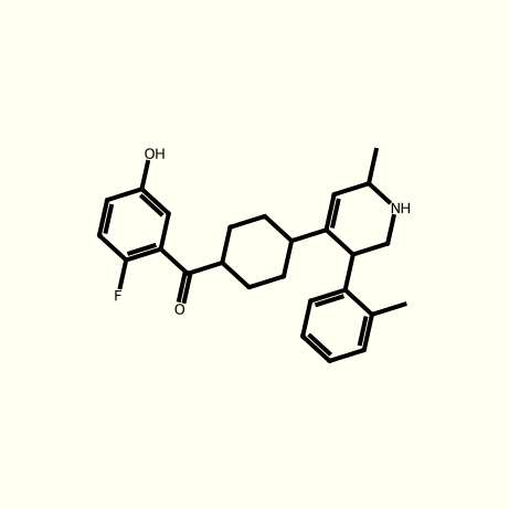 Cc1ccccc1C1CNC(C)C=C1C1CCC(C(=O)c2cc(O)ccc2F)CC1